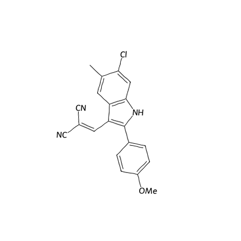 COc1ccc(-c2[nH]c3cc(Cl)c(C)cc3c2C=C(C#N)C#N)cc1